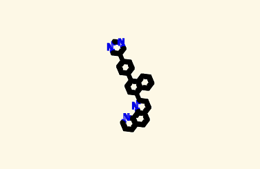 c1cnc2c(c1)ccc1ccc(-c3ccc(-c4ccc(-c5cncnc5)cc4)c4ccccc34)nc12